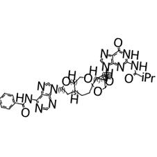 CC(C)C(=O)Nc1nc2c(ncn2[C@@H]2OC3OC4(CC[C@H]5C[C@H](n6cnc7c(NC(=O)c8ccccc8)ncnc76)O[C@@H]5CO4)[C@@H]2[C@H]3F)c(=O)[nH]1